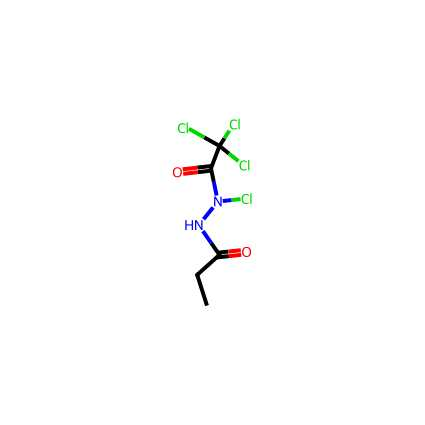 CCC(=O)NN(Cl)C(=O)C(Cl)(Cl)Cl